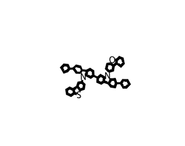 C1=CC2c3ccc(-c4ccc5c6ccc(-c7ccccc7)cc6n(-c6ccc7oc8ccccc8c7c6)c5c4)cc3N(c3ccc4sc5ccccc5c4c3)C2C=C1c1ccccc1